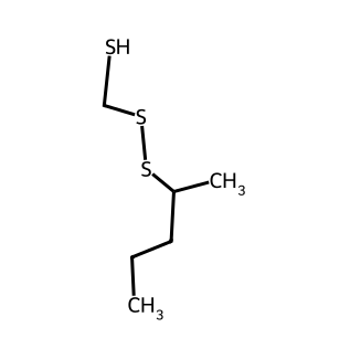 CCCC(C)SSCS